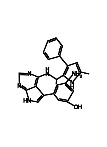 Cc1cc(-c2ccccc2)c(C(C)Nc2ncnc3[nH]cc(-c4cc(N)cc(O)c4)c23)[nH]1